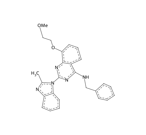 COCCOc1cccc2c(NCc3ccccc3)nc(-n3c(C)nc4ccccc43)nc12